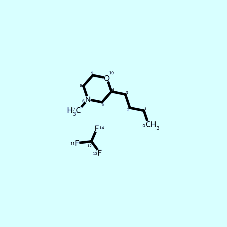 CCCCC1CN(C)CCO1.FC(F)F